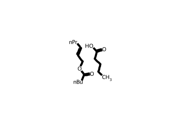 CCC/C=C/COC(=O)CCCC.CCCCC(=O)O